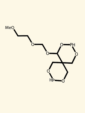 COCCOCOC1OPOCC12COPOC2